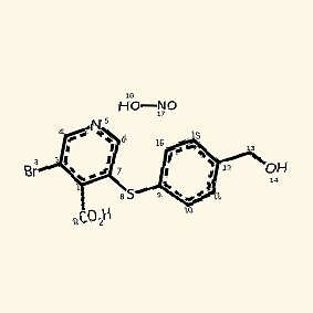 O=C(O)c1c(Br)cncc1Sc1ccc(CO)cc1.O=NO